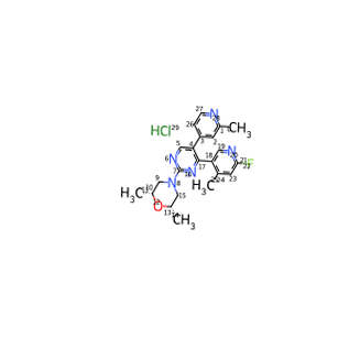 Cc1cc(-c2cnc(N3C[C@@H](C)O[C@@H](C)C3)nc2-c2cnc(F)cc2C)ccn1.Cl